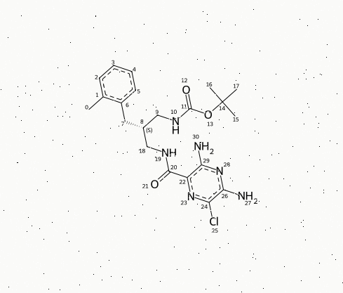 Cc1ccccc1C[C@H](CNC(=O)OC(C)(C)C)CNC(=O)c1nc(Cl)c(N)nc1N